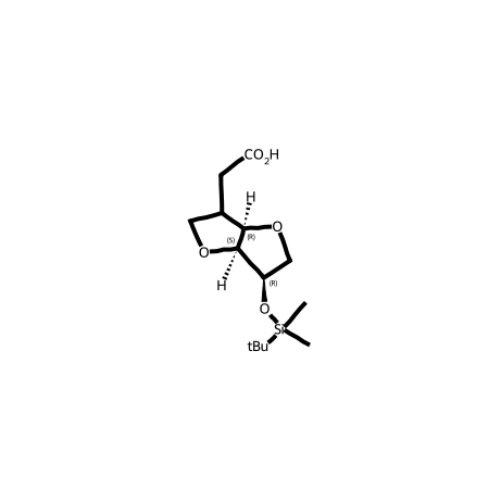 CC(C)(C)[Si](C)(C)O[C@@H]1CO[C@@H]2C(CC(=O)O)CO[C@@H]21